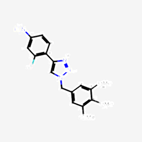 COc1cc(Cn2cc(-c3ccc(N)cc3F)nn2)cc(OC)c1OC